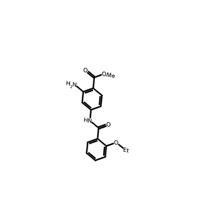 CCOc1ccccc1C(=O)Nc1ccc(C(=O)OC)c(N)c1